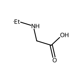 C[CH]NCC(=O)O